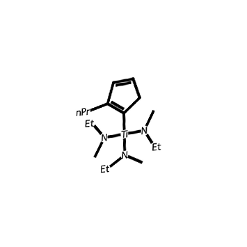 CCCC1=[C]([Ti]([N](C)CC)([N](C)CC)[N](C)CC)CC=C1